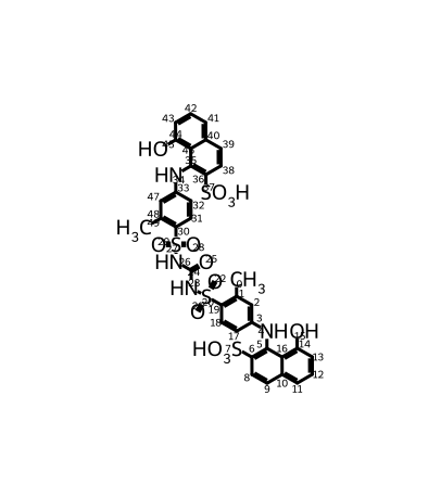 Cc1cc(Nc2c(S(=O)(=O)O)ccc3cccc(O)c23)ccc1S(=O)(=O)NC(=O)NS(=O)(=O)c1ccc(Nc2c(S(=O)(=O)O)ccc3cccc(O)c23)cc1C